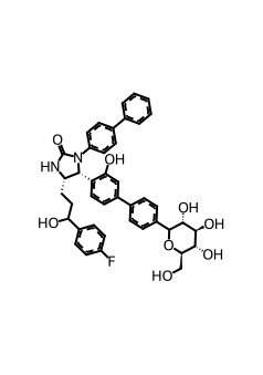 O=C1N[C@@H](CCC(O)c2ccc(F)cc2)[C@@H](c2ccc(-c3ccc(C4O[C@H](CO)[C@@H](O)[C@H](O)[C@H]4O)cc3)cc2O)N1c1ccc(-c2ccccc2)cc1